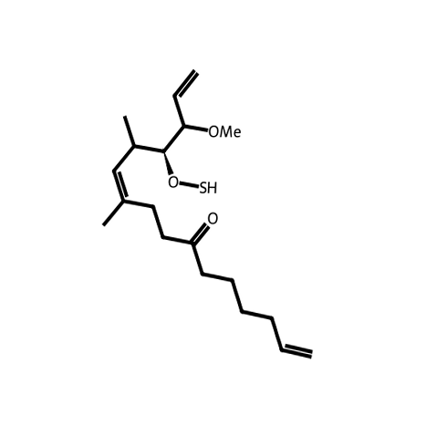 C=CCCCCC(=O)CC/C(C)=C\C(C)[C@H](OS)C(C=C)OC